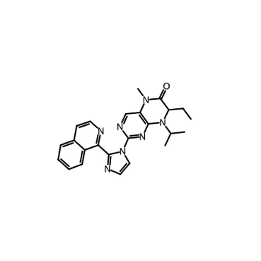 CCC1C(=O)N(C)c2cnc(-n3ccnc3-c3nccc4ccccc34)nc2N1C(C)C